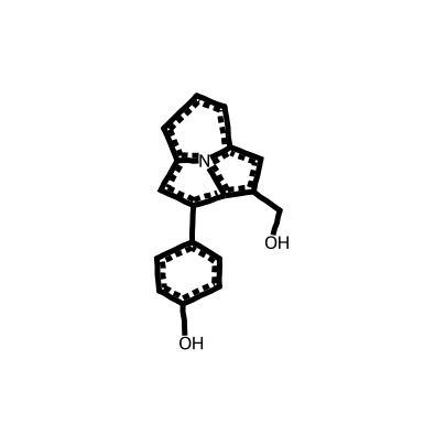 OCc1cc2cccc3cc(-c4ccc(O)cc4)c1n23